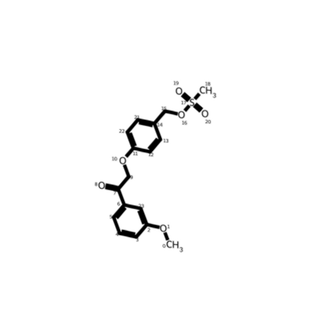 COc1cccc(C(=O)COc2ccc(COS(C)(=O)=O)cc2)c1